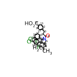 C=C(C)C[C@@H]1CN(C(=O)CCc2ccc(C(=O)O)cc2)[C@H](c2cccc(Cl)c2F)[C@@]1(C#N)c1ccc(Cl)cc1F